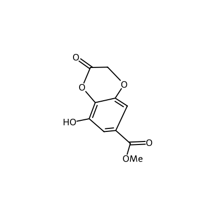 COC(=O)c1cc(O)c2c(c1)OCC(=O)O2